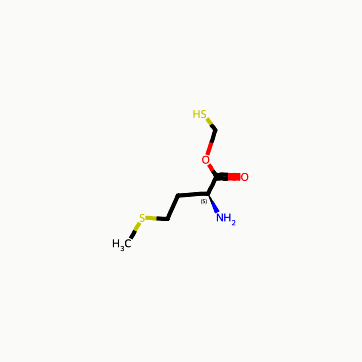 CSCC[C@H](N)C(=O)OCS